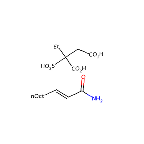 CCC(CC(=O)O)(C(=O)O)S(=O)(=O)O.CCCCCCCCC=CC(N)=O